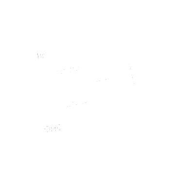 O=Cc1cc(Br)cc(C2CC2)c1